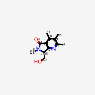 CCN1C(=O)c2c(nc(C)c(C)c2C)[C@H]1CO